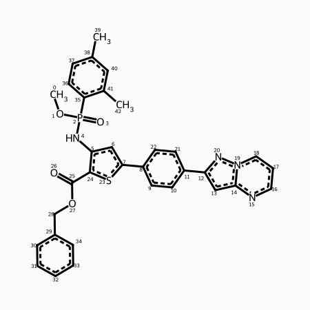 COP(=O)(Nc1cc(-c2ccc(-c3cc4ncccn4n3)cc2)sc1C(=O)OCc1ccccc1)c1ccc(C)cc1C